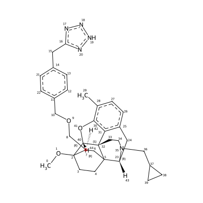 COC12CCC3(C[C@@H]1COCc1ccc(Cc4nn[nH]n4)cc1)[C@H]1Cc4ccc(C)c5c4[C@@]3(CCN1CC1CC1)[C@H]2O5